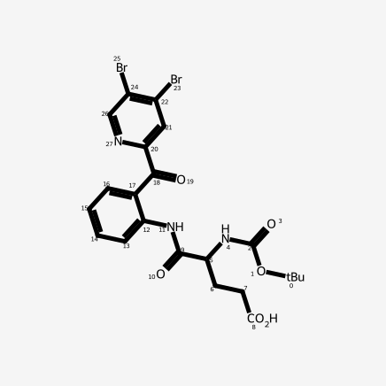 CC(C)(C)OC(=O)NC(CCC(=O)O)C(=O)Nc1ccccc1C(=O)c1cc(Br)c(Br)cn1